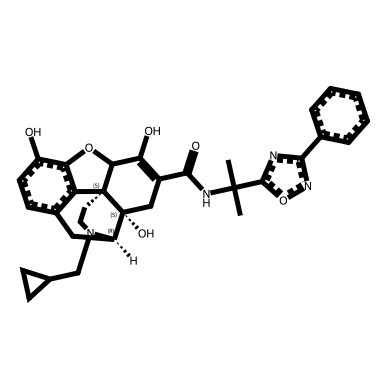 CC(C)(NC(=O)C1=C(O)C2Oc3c(O)ccc4c3[C@@]23CCN(CC2CC2)[C@H](C4)[C@]3(O)C1)c1nc(-c2ccccc2)no1